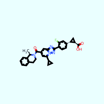 C[C@@H]1c2ccccc2CCN1C(=O)c1cc(C2CC2)n2nc(-c3ccc([C@@H]4C[C@H]4C(=O)O)cc3F)nc2c1